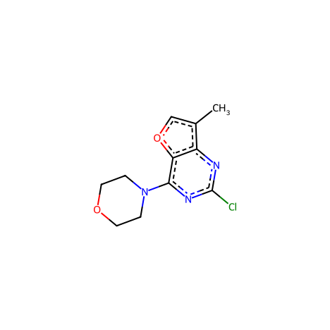 Cc1coc2c(N3CCOCC3)nc(Cl)nc12